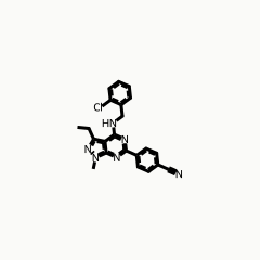 CCc1nn(C)c2nc(-c3ccc(C#N)cc3)nc(NCc3ccccc3Cl)c12